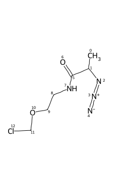 CC(N=[N+]=[N-])C(=O)NCCOCCl